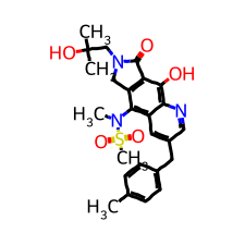 Cc1ccc(Cc2cnc3c(O)c4c(c(N(C)S(C)(=O)=O)c3c2)CN(CC(C)(C)O)C4=O)cc1